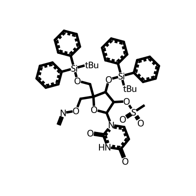 C=NOCC1(CO[Si](c2ccccc2)(c2ccccc2)C(C)(C)C)OC(n2ccc(=O)[nH]c2=O)C(OS(C)(=O)=O)C1O[Si](c1ccccc1)(c1ccccc1)C(C)(C)C